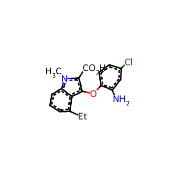 CCc1cccc2c1c(Oc1ccc(Cl)cc1N)c(C(=O)O)n2C